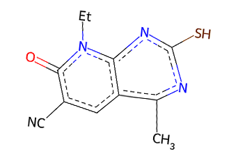 CCn1c(=O)c(C#N)cc2c(C)nc(S)nc21